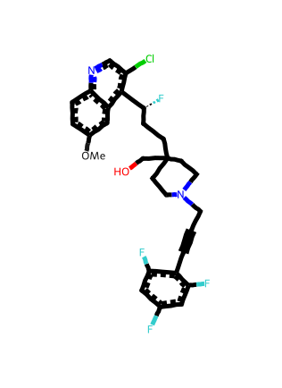 COc1ccc2ncc(Cl)c([C@H](F)CCC3(CO)CCN(CC#Cc4c(F)cc(F)cc4F)CC3)c2c1